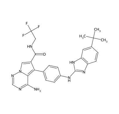 CC(C)(C)c1ccc2nc(Nc3ccc(-c4c(C(=O)NCC(F)(F)F)cn5ncnc(N)c45)cc3)[nH]c2c1